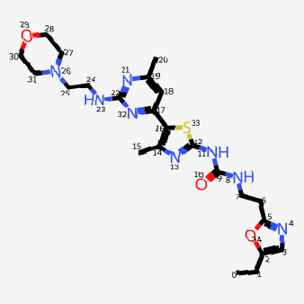 CCc1cnc(CCNC(=O)Nc2nc(C)c(-c3cc(C)nc(NCCN4CCOCC4)n3)s2)o1